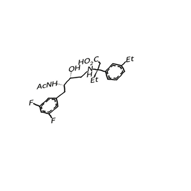 CCc1cccc([C@@](CC)(CC(=O)O)NC[C@@H](O)[C@H](Cc2cc(F)cc(F)c2)NC(C)=O)c1